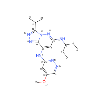 CCC(CC)Nc1cc(Nc2cc(OC)cnn2)c2nnc(C(C)C)n2n1